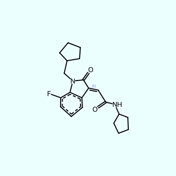 O=C(/C=C1/C(=O)N(CC2CCCC2)c2c(F)cccc21)NC1CCCC1